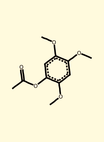 COc1cc(OC)c(OC(C)=O)cc1OC